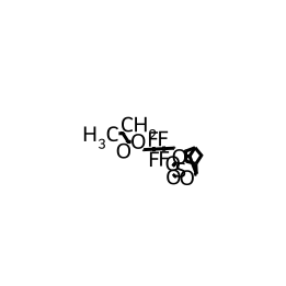 C=C(C)C(=O)OCC(F)(F)C(F)(F)COC1C2CC3C1OS(=O)(=O)C3C2